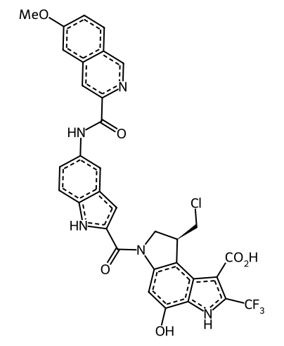 COc1ccc2cnc(C(=O)Nc3ccc4[nH]c(C(=O)N5C[C@@H](CCl)c6c5cc(O)c5[nH]c(C(F)(F)F)c(C(=O)O)c65)cc4c3)cc2c1